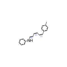 Cc1ccc(\C=C/C=C\C=C\Nc2ccccc2)cc1